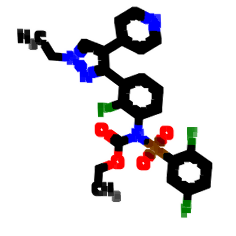 CCOC(=O)N(c1cccc(-c2nn(CC)cc2-c2ccncc2)c1F)S(=O)(=O)c1cc(F)ccc1F